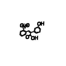 O=C(O)C(=Cc1ccccc1[N+](=O)[O-])c1cccc(O)c1